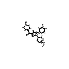 COc1ccc(-n2nc(C(=O)N3CCN(C)CC3)cc2-c2cccc(C)c2)cn1